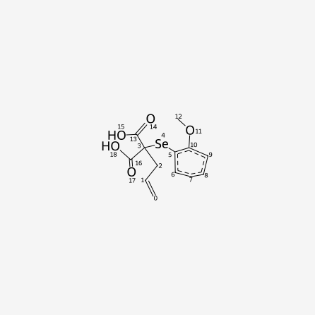 C=CCC([Se]c1ccccc1OC)(C(=O)O)C(=O)O